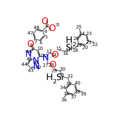 COC(=O)c1ccc(Oc2cc(N(COCC[SiH2]Cc3cc(C)cc(C)c3)COCC[SiH2]Cc3cc(C)cc(C)c3)n3nccc3n2)cc1